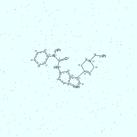 CCCN(C(=O)Nc1ccc2[nH]cc(C3=CCN(CC(C)C)CC3)c2c1)c1ccccc1